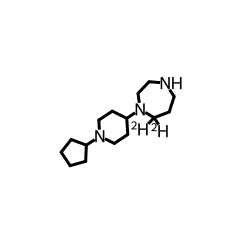 [2H]C1([2H])CCNCCN1C1CCN(C2CCCC2)CC1